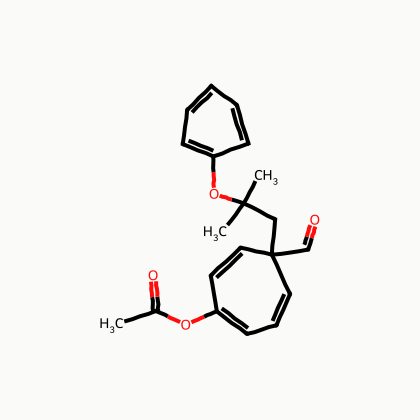 CC(=O)OC1=CC=CC(C=O)(CC(C)(C)Oc2ccccc2)C=C1